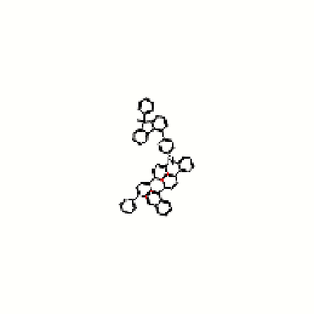 CC1(c2ccccc2)c2ccccc2-c2c(-c3ccc(N(c4ccc(-c5ccc(-c6ccccc6)cc5)cc4)c4ccccc4-c4ccc(-c5cccc6ccccc56)cc4)cc3)cccc21